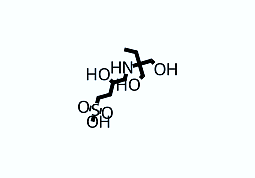 CCC(CO)(CO)NCC(O)CCS(=O)(=O)O